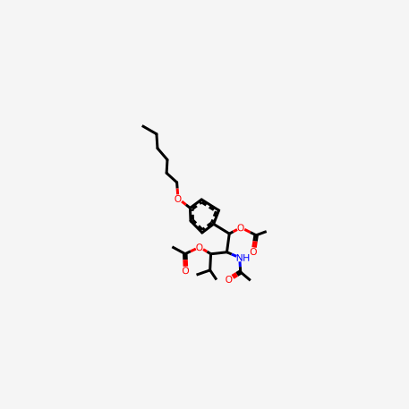 CCCCCCOc1ccc(C(OC(C)=O)C(NC(C)=O)C(OC(C)=O)C(C)C)cc1